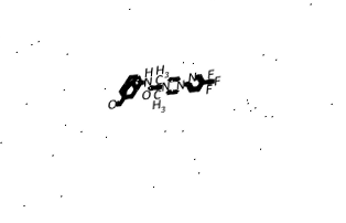 CC(C)(C(=O)NC1C2CC3CC1CC(C=O)(C3)C2)N1CCN(c2ccc(C(F)(F)F)cn2)CC1